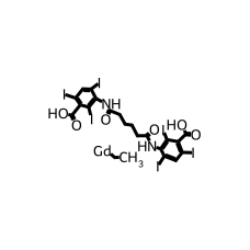 C[CH2][Gd].O=C(CCCCC(=O)Nc1c(I)cc(I)c(C(=O)O)c1I)Nc1c(I)cc(I)c(C(=O)O)c1I